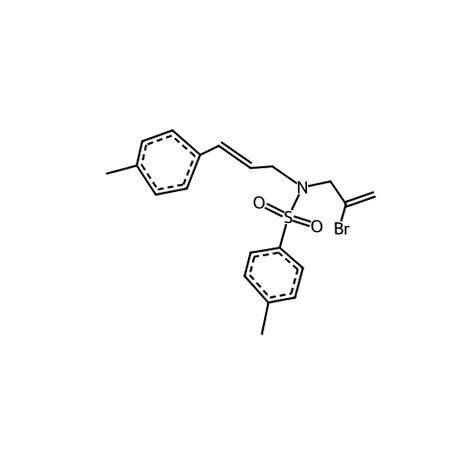 C=C(Br)CN(C/C=C/c1ccc(C)cc1)S(=O)(=O)c1ccc(C)cc1